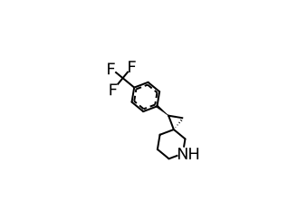 FC(F)(F)c1ccc([C@H]2C[C@]23CCCNC3)cc1